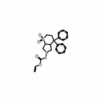 C=COC(=O)SN1CC2C(C1)S(=O)(=O)CCC2(c1ccccc1)c1ccccc1